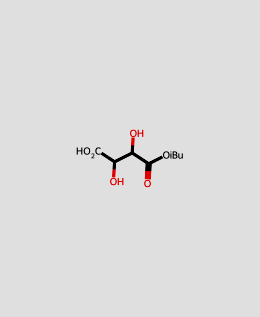 CC(C)COC(=O)C(O)C(O)C(=O)O